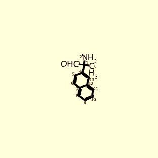 C[C@](N)(C=O)c1ccc2ccccc2c1